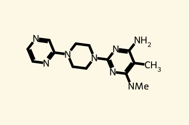 CNc1nc(N2CCN(c3cnccn3)CC2)nc(N)c1C